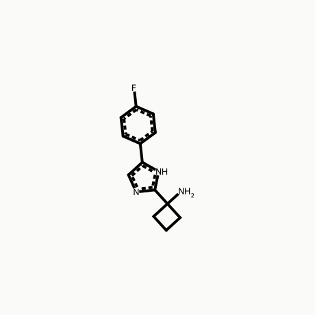 NC1(c2ncc(-c3ccc(F)cc3)[nH]2)CCC1